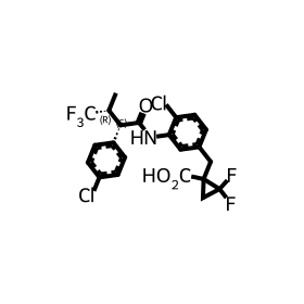 C[C@H]([C@H](C(=O)Nc1cc(CC2(C(=O)O)CC2(F)F)ccc1Cl)c1ccc(Cl)cc1)C(F)(F)F